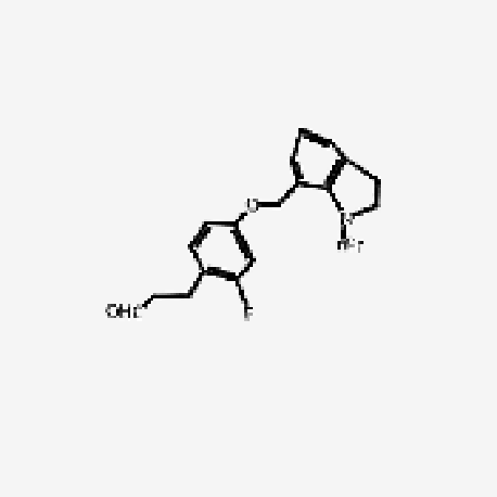 CCCN1CCc2cccc(COc3ccc(CCC=O)c(F)c3)c21